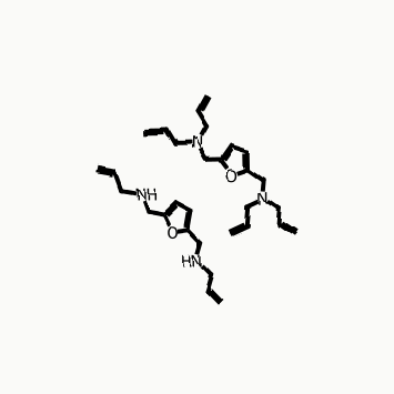 C=CCN(CC=C)Cc1ccc(CN(CC=C)CC=C)o1.C=CCNCc1ccc(CNCC=C)o1